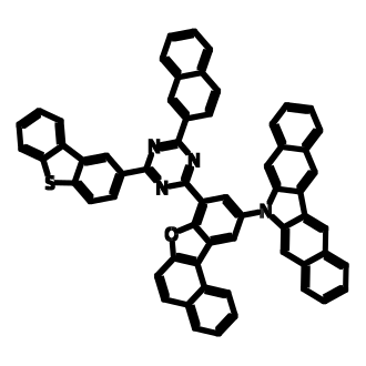 c1ccc2cc(-c3nc(-c4ccc5sc6ccccc6c5c4)nc(-c4cc(-n5c6cc7ccccc7cc6c6cc7ccccc7cc65)cc5c4oc4ccc6ccccc6c45)n3)ccc2c1